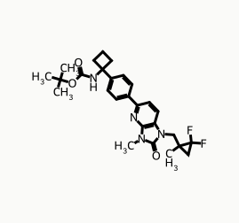 Cn1c(=O)n(CC2(C)CC2(F)F)c2ccc(-c3ccc(C4(NC(=O)OC(C)(C)C)CCC4)cc3)nc21